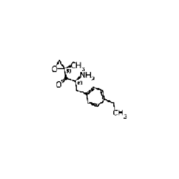 CCc1ccc(C[C@H](N)C(=O)[C@@]2(C)CO2)cc1